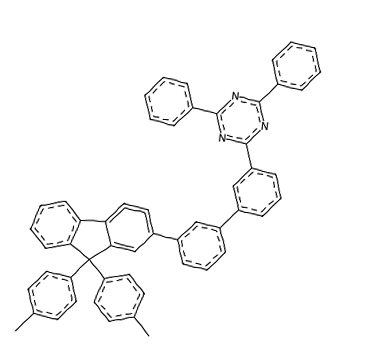 Cc1ccc(C2(c3ccc(C)cc3)C3=CC(c4cccc(-c5cccc(-c6nc(-c7ccccc7)nc(-c7ccccc7)n6)c5)c4)=C=C=C3c3ccccc32)cc1